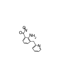 Nc1c(Cc2ccccn2)cccc1C(=O)N=O